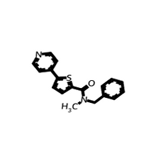 CN(Cc1ccccc1)C(=O)c1ccc(-c2ccncc2)s1